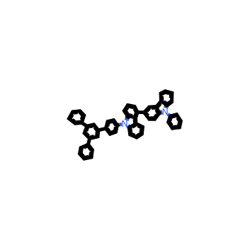 c1ccc(-c2cc(-c3ccccc3)cc(-c3ccc(-n4c5ccccc5c5c(-c6ccc7c(c6)c6ccccc6n7-c6ccccc6)cccc54)cc3)c2)cc1